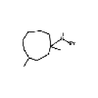 CC(C)BC1(C)CCCCCC(C)CC1